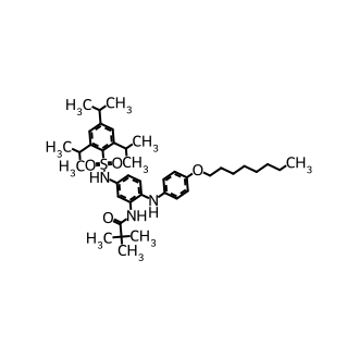 CCCCCCCCOc1ccc(Nc2ccc(NS(=O)(=O)c3c(C(C)C)cc(C(C)C)cc3C(C)C)cc2NC(=O)C(C)(C)C)cc1